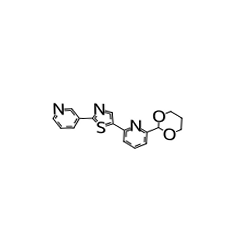 c1cncc(-c2ncc(-c3cccc(C4OCCCO4)n3)s2)c1